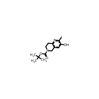 CC(C)(C)OC(=O)N1CCc2nc(I)c(O)cc2C1